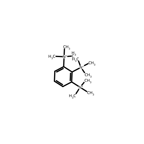 C[N+](C)(C)c1cccc([N+](C)(C)C)c1[N+](C)(C)C